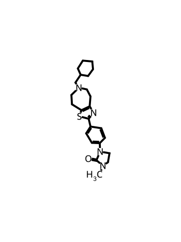 CN1CCN(c2ccc(-c3nc4c(s3)CCN(CC3CCCCC3)CC4)cc2)C1=O